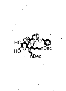 CCCCCCCCCCCCCC(=O)N(CCCCCCCCCCCC)[C@@H]1O[C@H](CO)[C@@H](O)[C@H](O)[C@H]1NC(=O)[C@H](CC(C)C)NC(=O)OCc1ccccc1